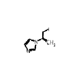 C=C(CI)n1ccnc1